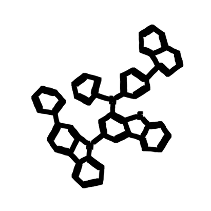 c1ccc(-c2ccc3c4ccccc4n(-c4cc(N(c5ccccc5)c5ccc(-c6cccc7ccccc67)cc5)c5sc6ccccc6c5c4)c3c2)cc1